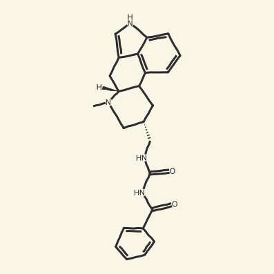 CN1C[C@@H](CNC(=O)NC(=O)c2ccccc2)CC2c3cccc4[nH]cc(c34)C[C@H]21